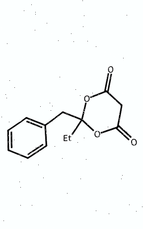 CCC1(Cc2ccccc2)OC(=O)CC(=O)O1